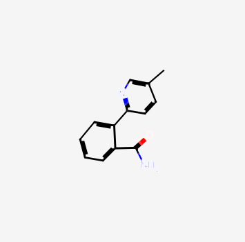 Cc1ccc(-c2ccccc2C(N)=O)nc1